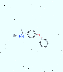 CCNC(C)c1ccc(Oc2ccccc2)cc1